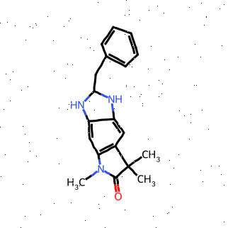 CN1C(=O)C(C)(C)c2cc3c(cc21)NC(Cc1ccccc1)N3